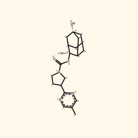 Cc1cnc(C2CCN(C(=O)O[C@H]3C4CC5CC3C[C@](O)(C5)C4)C2)nc1